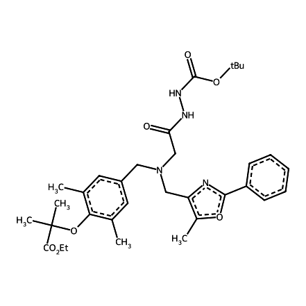 CCOC(=O)C(C)(C)Oc1c(C)cc(CN(CC(=O)NNC(=O)OC(C)(C)C)Cc2nc(-c3ccccc3)oc2C)cc1C